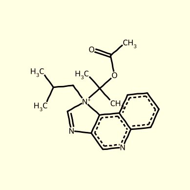 CC(=O)OC(C)(C)[N+]1(CC(C)C)C=Nc2cnc3ccccc3c21